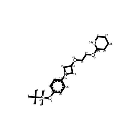 CC(C)(C)[Si](C)(C)Oc1ccc(N2CC(OCCOC3CCCCO3)C2)cc1